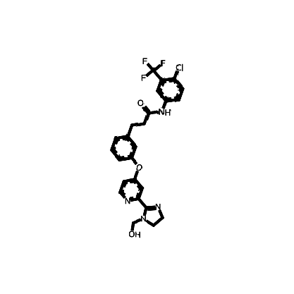 O=C(CCc1cccc(Oc2ccnc(C3=NCCN3CO)c2)c1)Nc1ccc(Cl)c(C(F)(F)F)c1